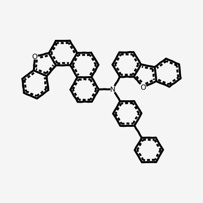 c1ccc(-c2ccc(N(c3cccc4c3ccc3ccc5oc6ccccc6c5c34)c3cccc4c3oc3ccccc34)cc2)cc1